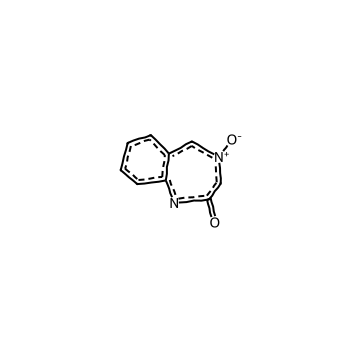 O=c1c[n+]([O-])cc2ccccc2n1